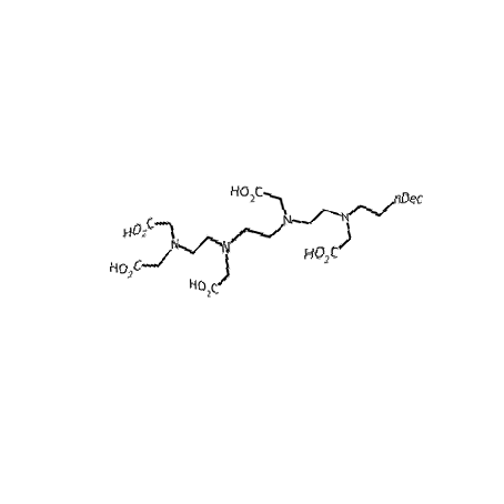 CCCCCCCCCCCCN(CCN(CCN(CCN(CC(=O)O)CC(=O)O)CC(=O)O)CC(=O)O)CC(=O)O